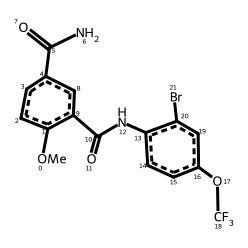 COc1ccc(C(N)=O)cc1C(=O)Nc1ccc(OC(F)(F)F)cc1Br